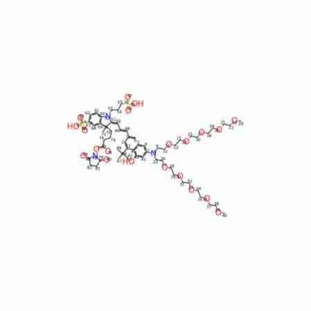 C=C(/C=C(\c1ccc(N(CCOCCOCCOCCOCCOC)CCOCCOCCOCCOCCOC)cc1O)C(C)(C)C)/C=C/C=C1/N(CCCS(=O)(=O)O)c2ccc(S(=O)(=O)O)cc2C1(C)CCCC(=O)ON1C(=O)CCC1=O